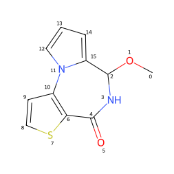 COC1NC(=O)c2sccc2-n2cccc21